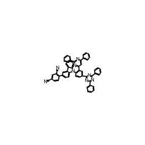 N#Cc1ccc(-c2ccc3c(c2)c2ccccc2n3-c2ccc(-c3nc(-c4ccccc4)nc(-c4ccccc4)n3)cc2-c2cc(-c3ccccc3)nc(-c3ccccc3)n2)c(C#N)c1